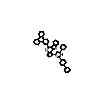 c1ccc(-c2ccc(-c3nc(-c4ccccc4)cc(-c4cccc5nc(-c6ccc7c8ccccc8c8ccccc8c7c6)c6c7ccccc7sc6c45)n3)cc2)cc1